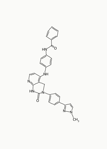 Cn1ccc(-c2ccc(N3Cc4c(Nc5ccc(NC(=O)c6ccccc6)cc5)ccnc4NC3=O)cc2)n1